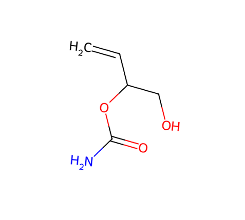 C=CC(CO)OC(N)=O